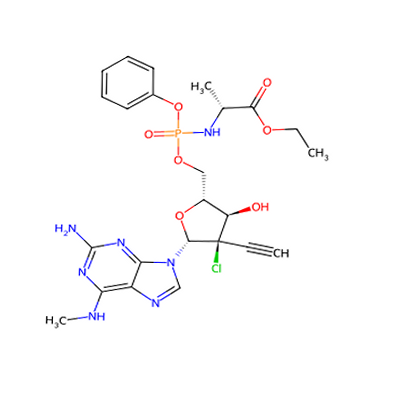 C#C[C@@]1(Cl)[C@H](O)[C@@H](COP(=O)(N[C@H](C)C(=O)OCC)Oc2ccccc2)O[C@H]1n1cnc2c(NC)nc(N)nc21